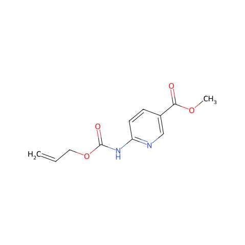 C=CCOC(=O)Nc1ccc(C(=O)OC)cn1